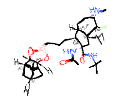 CN[C@H]1C[C@@H]2[C@@H](C[C@@](NC(C)=O)(C(=O)NC(C)(C)C)[C@H]2CCCB2O[C@@H]3C[C@@H]4C[C@@H](C4(C)C)[C@]3(C)O2)[C@@H]1F